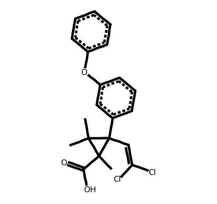 CC1(C)C(C)(C(=O)O)C1(C=C(Cl)Cl)c1cccc(Oc2ccccc2)c1